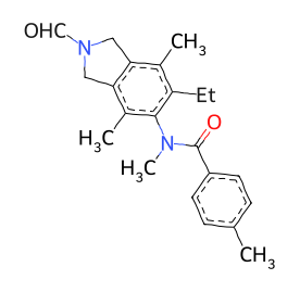 CCc1c(C)c2c(c(C)c1N(C)C(=O)c1ccc(C)cc1)CN(C=O)C2